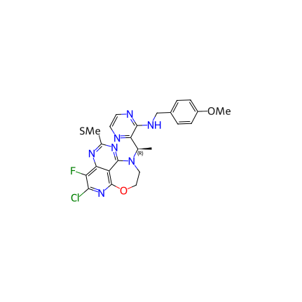 COc1ccc(CNc2nccnc2[C@@H](C)N2CCOc3nc(Cl)c(F)c4nc(SC)nc2c34)cc1